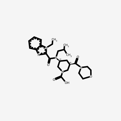 CCn1c(C(=O)N(CC(C)C)[C@H]2C[C@@H](C(=O)N3CCOCC3)CN(C(=O)O)C2)nc2ccccc21